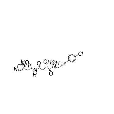 O=C(C[C@H](O)C(=O)N(O)CC#Cc1ccc(Cl)cc1)NC(CO)Cc1cnc[nH]1